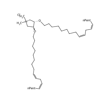 CCCCC/C=C\C/C=C\CCCCCCCCO[C@H]1C[N+](C)(C)C[C@@H]1OCCCCCCCC/C=C\C/C=C\CCCCC.[Cl-]